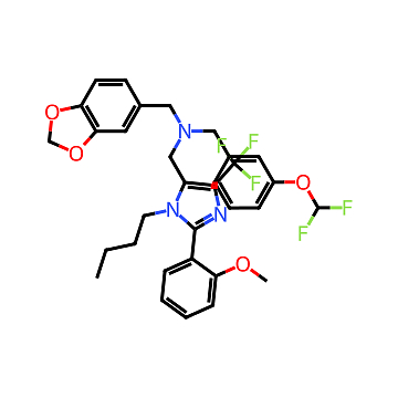 CCCCn1c(-c2ccccc2OC)nc(C(F)(F)F)c1CN(Cc1cccc(OC(F)F)c1)Cc1ccc2c(c1)OCO2